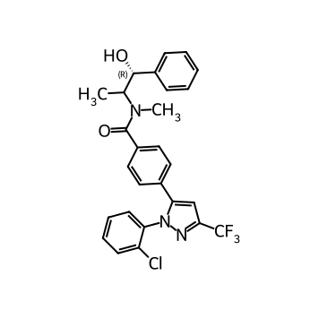 CC([C@H](O)c1ccccc1)N(C)C(=O)c1ccc(-c2cc(C(F)(F)F)nn2-c2ccccc2Cl)cc1